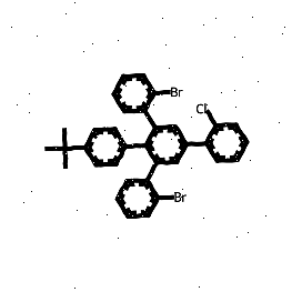 CC(C)(C)c1ccc(-c2c(-c3ccccc3Br)cc(-c3ccccc3Cl)cc2-c2ccccc2Br)cc1